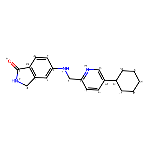 O=C1NCc2cc(NCc3ccc(C4CCCCC4)cn3)ccc21